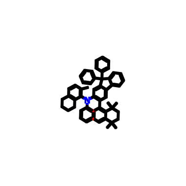 Cc1ccc2c(c1N(c1ccccc1)c1cc3c(cc1-c1cccc4c1C(C)(C)CCC4(C)C)-c1ccccc1C3(c1ccccc1)c1ccccc1)CCCC2